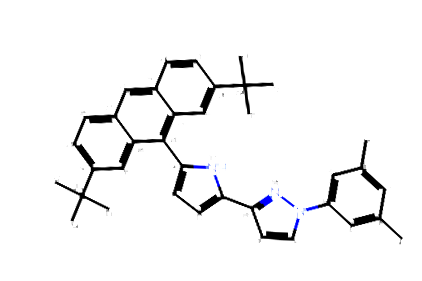 Cc1cc(C)cc(-n2ccc(-c3ccc(-c4c5cc(C(C)(C)C)ccc5cc5ccc(C(C)(C)C)cc45)[nH]3)n2)c1